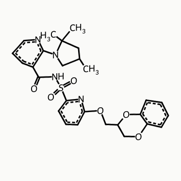 CC1CN(c2ncccc2C(=O)NS(=O)(=O)c2cccc(OCC3COc4ccccc4O3)n2)C(C)(C)C1